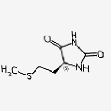 CSCC[C@@H]1NC(=O)NC1=O